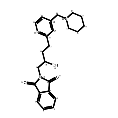 O=C1c2ccccc2C(=O)N1CC(O)CCc1cc(CN2CCCCC2)ccn1